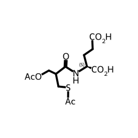 CC(=O)OCC(CSC(C)=O)C(=O)N[C@@H](CCC(=O)O)C(=O)O